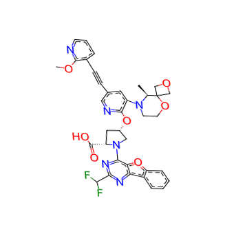 COc1ncccc1C#Cc1cnc(O[C@H]2C[C@@H](C(=O)O)N(c3nc(C(F)F)nc4c3oc3ccccc34)C2)c(N2CCOC3(COC3)[C@@H]2C)c1